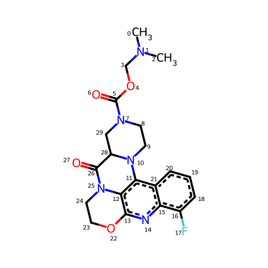 CN(C)COC(=O)N1CCN2c3c4c(nc5c(F)cccc35)OCCN4C(=O)C2C1